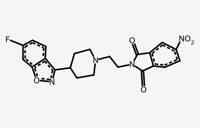 O=C1c2ccc([N+](=O)[O-])cc2C(=O)N1CCN1CCC(c2noc3cc(F)ccc23)CC1